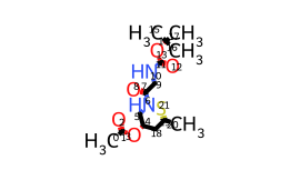 CC(=O)OC(CNC(=O)CNC(=O)OC(C)(C)C)CC(C)=S